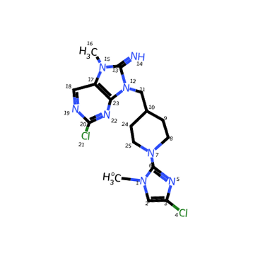 Cn1cc(Cl)nc1N1CCC(Cn2c(=N)n(C)c3cnc(Cl)nc32)CC1